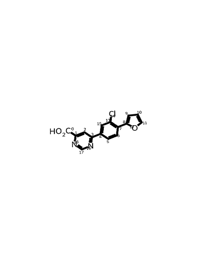 O=C(O)c1cc(-c2ccc(-c3ccco3)c(Cl)c2)ncn1